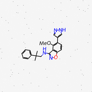 COc1c(-c2cn[nH]c2)ccc2onc(NCC(C)(C)c3ccccc3)c12